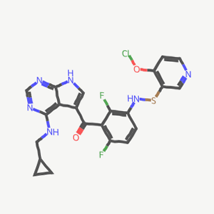 O=C(c1c(F)ccc(NSc2cnccc2OCl)c1F)c1c[nH]c2ncnc(NCC3CC3)c12